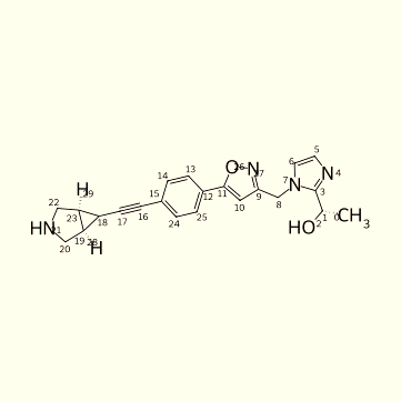 C[C@H](O)c1nccn1Cc1cc(-c2ccc(C#CC3[C@H]4CNC[C@@H]34)cc2)on1